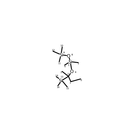 CCC(C)(O[Si](C)(C)O[Si](C)(C)C)[Si](C)(C)C